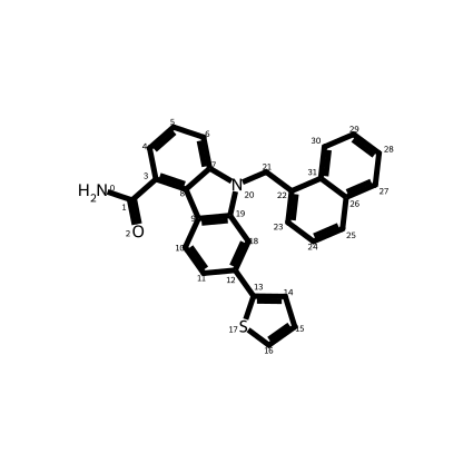 NC(=O)c1cccc2c1c1[c]cc(-c3cccs3)cc1n2Cc1cccc2ccccc12